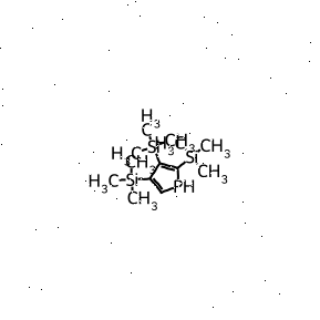 C[Si](C)(C)c1c[pH]c([Si](C)(C)C)c1[Si](C)(C)C